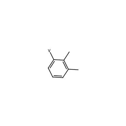 Cc1ccc[c]([V])c1C